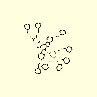 O=C1c2c(c3c4ccc(OCc5ccccc5)cc4n(C4O[C@H](COCc5ccccc5)[C@@H](OCc5ccccc5)[C@H](OCc5ccccc5)[C@H]4OCc4ccccc4)c3c3[nH]c4cc(OCc5ccccc5)ccc4c23)C(=O)N1NC(COCc1ccccc1)COCc1ccccc1